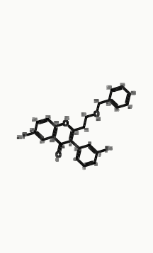 O=c1c(-c2cccc(F)c2)c(CCOCc2ccccc2)oc2ccc(F)cc12